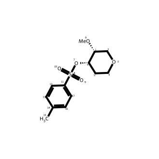 CO[C@@H]1COCC[C@@H]1OS(=O)(=O)c1ccc(C)cc1